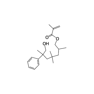 C=C(C)C(=O)OCC(C)CC(C)(C)CC(C)(CO)c1ccccc1